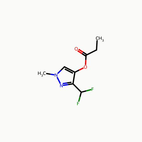 CCC(=O)Oc1cn(C)nc1C(F)F